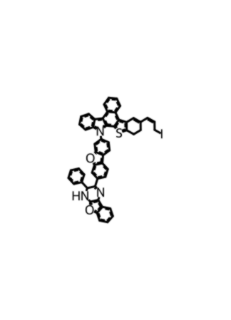 IC/C=C\C1=Cc2c(sc3c2c2ccccc2c2c4ccccc4n(-c4ccc5c(c4)oc4cc(C6=Nc7c(oc8ccccc78)NC6c6ccccc6)ccc45)c32)CC1